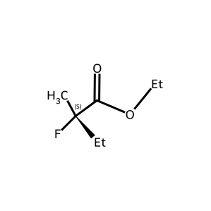 CCOC(=O)[C@@](C)(F)CC